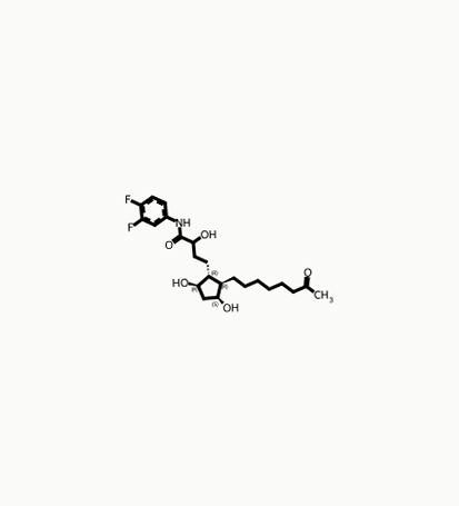 CC(=O)CCCCCC[C@@H]1[C@@H](CCC(O)C(=O)Nc2ccc(F)c(F)c2)[C@H](O)C[C@@H]1O